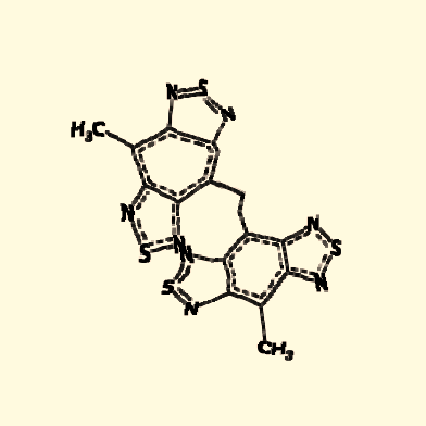 Cc1c2c(c(Cc3c4c(c(C)c5nsnc35)N=S=N4)c3nsnc13)N=S=N2